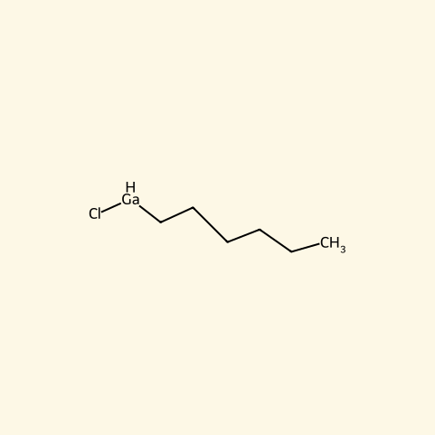 CCCCC[CH2][GaH][Cl]